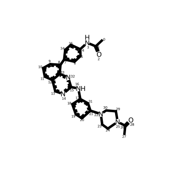 CC(=O)Nc1ccc(-c2cccc3cnc(Nc4cccc(N5CCN(C(C)=O)CC5)c4)nc23)cc1